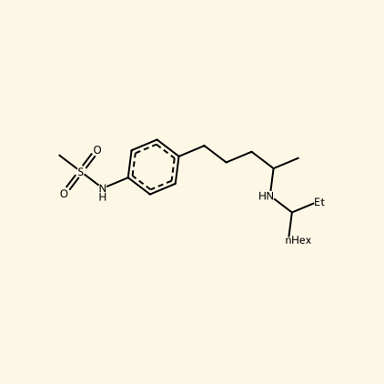 CCCCCCC(CC)NC(C)CCCc1ccc(NS(C)(=O)=O)cc1